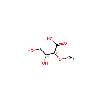 CO[C@H](C(=O)O)[C@H](O)CO